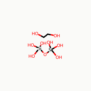 OCCO.O[Si](O)(O)O[Si](O)(O)O